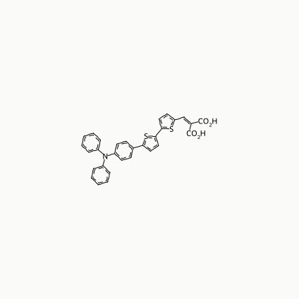 O=C(O)C(=Cc1ccc(-c2ccc(-c3ccc(N(c4ccccc4)c4ccccc4)cc3)s2)s1)C(=O)O